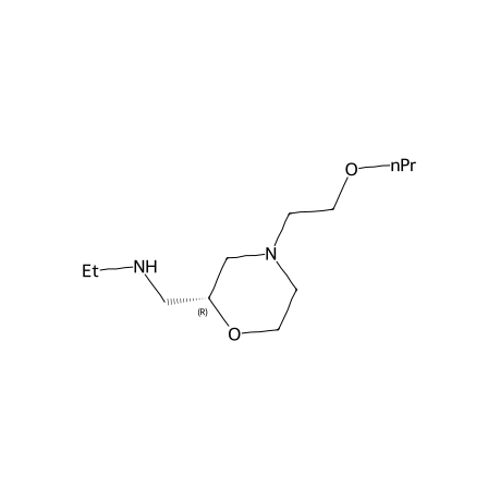 CCCOCCN1CCO[C@H](CNCC)C1